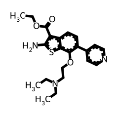 CCOC(=O)c1c(N)sc2c(OCCN(CC)CC)c(-c3ccncc3)ccc12